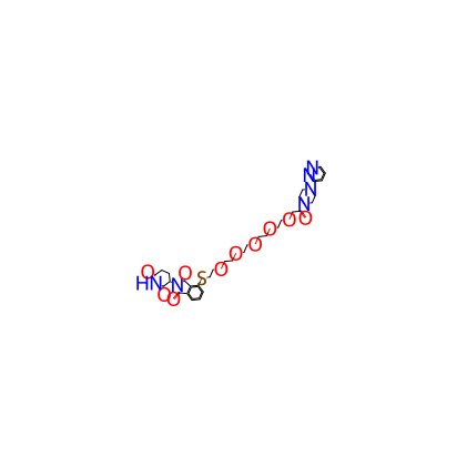 O=C1CCC(N2C(=O)c3cccc(SCCOCCOCCOCCOCCOCC(=O)N4CCN(c5cccnn5)CC4)c3C2=O)C(=O)N1